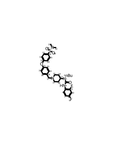 CCCCN(C(=O)Nc1ccc(F)cc1F)C1CCN(Cc2ccc(Oc3ccc(S(=O)(=O)N(C)C)cc3)cc2)CC1